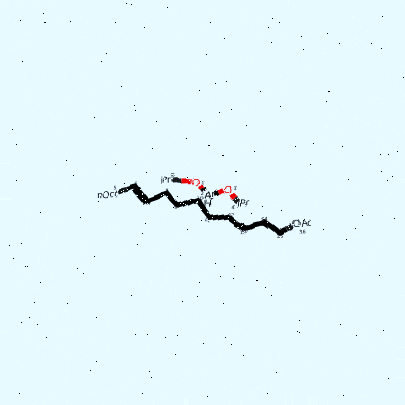 CC(C)[O][AlH][O]C(C)C.CCCCCCCCC=CCCCCCCCCOC(C)=O